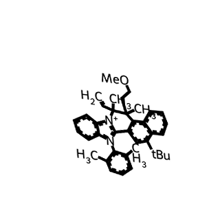 C=CC1(C)[n+]2c(n(-c3c(C)cccc3C)c3ccccc32)-c2cc(C(C)(C)C)c3ccccc3c2C1(C)CCOC